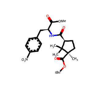 COC(=O)[C@H](Cc1ccc([N+](=O)[O-])cc1)NC(=O)[C@H]1CC[C@@](C)(C(=O)OC(C)(C)C)C1(C)C